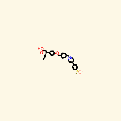 CC#C[C@@H](CC(=O)O)c1ccc(OCc2ccc(CN3CC=C(c4ccc([S+](C)[O-])cc4)CC3)cc2)cc1